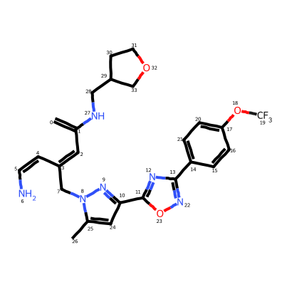 C=C(/C=C(\C=C/N)Cn1nc(-c2nc(-c3ccc(OC(F)(F)F)cc3)no2)cc1C)NCC1CCOC1